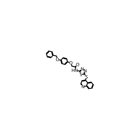 O=C(COc1ccc(OCc2ccccc2)cc1)Nc1nnc(Sc2ccnc3ccccc23)s1